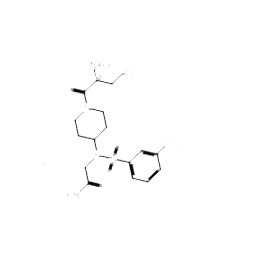 CN[C@@H](CC(C)C)C(=O)N1CCC(N(CC(N)=O)S(=O)(=O)c2cccc(C(F)(F)F)c2)CC1.Cl